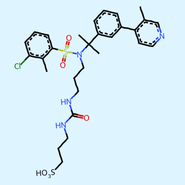 Cc1cnccc1-c1cccc(C(C)(C)N(CCCNC(=O)NCCCS(=O)(=O)O)S(=O)(=O)c2cccc(Cl)c2C)c1